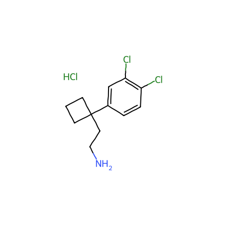 Cl.NCCC1(c2ccc(Cl)c(Cl)c2)CCC1